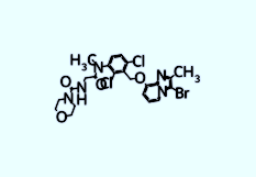 Cc1nc2c(OCc3c(Cl)ccc(N(C)C(=O)CNC(=O)N4CCOCC4)c3Cl)cccn2c1Br